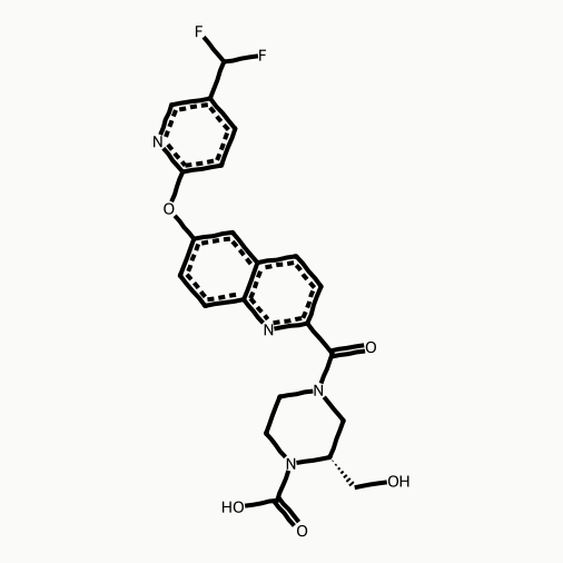 O=C(c1ccc2cc(Oc3ccc(C(F)F)cn3)ccc2n1)N1CCN(C(=O)O)[C@@H](CO)C1